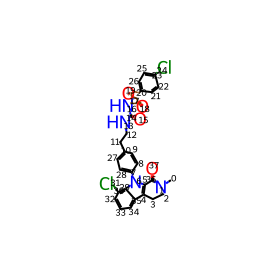 CN1CCc2c(n(-c3ccc(CCNC(=O)NS(=O)(=O)c4ccc(Cl)cc4)cc3)c3c(Cl)cccc23)C1=O